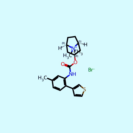 Cc1ccc(-c2ccsc2)c(NC(=O)O[C@H]2C[C@H]3CC[C@@H](C2)[N+]3(C)C)c1.[Br-]